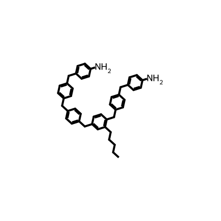 CCCCCc1cc(Cc2ccc(Cc3ccc(Cc4ccc(N)cc4)cc3)cc2)ccc1Cc1ccc(Cc2ccc(N)cc2)cc1